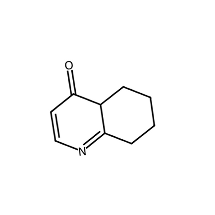 O=C1C=CN=C2CCCCC12